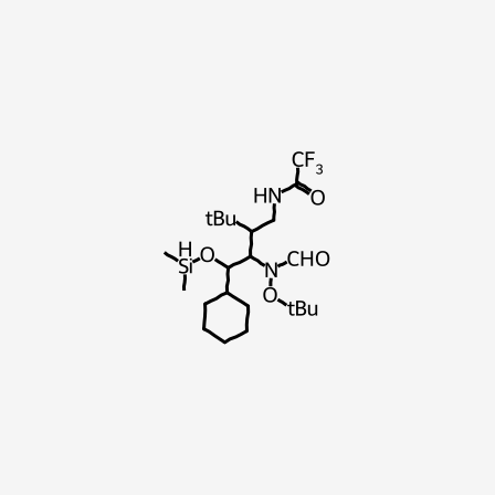 C[SiH](C)OC(C1CCCCC1)C(C(CNC(=O)C(F)(F)F)C(C)(C)C)N(C=O)OC(C)(C)C